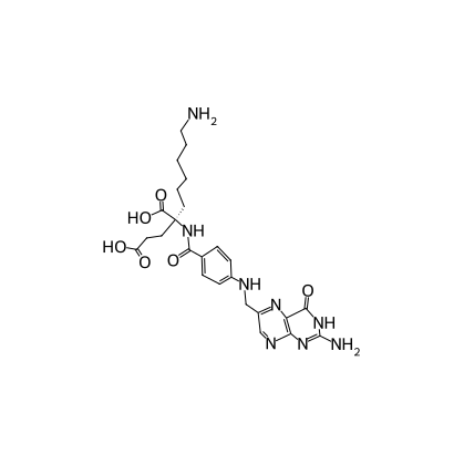 NCCCCCC[C@@](CCC(=O)O)(NC(=O)c1ccc(NCc2cnc3nc(N)[nH]c(=O)c3n2)cc1)C(=O)O